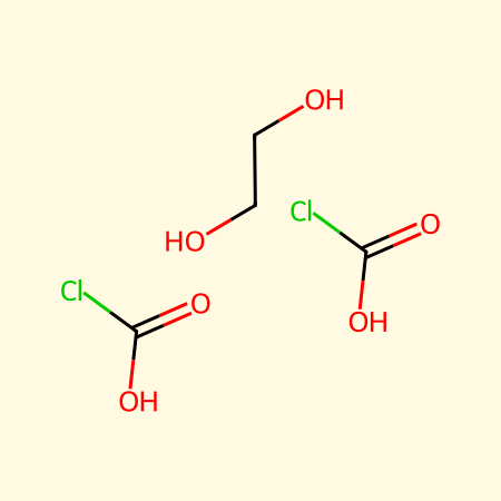 O=C(O)Cl.O=C(O)Cl.OCCO